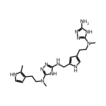 Cc1[nH]ccc1CCN(C)c1nnc(NCc2cc(CCN(C)c3nnc(N)[nH]3)c[nH]2)[nH]1